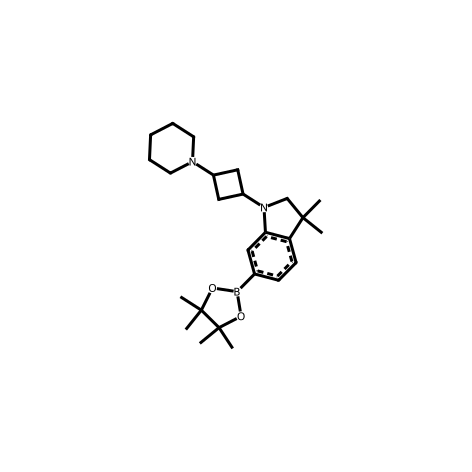 CC1(C)CN(C2CC(N3CCCCC3)C2)c2cc(B3OC(C)(C)C(C)(C)O3)ccc21